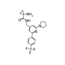 NC1(C(=O)NCc2cc(-c3ccc(C(F)(F)F)cc3)nc(N3CCCC3)c2)CC1